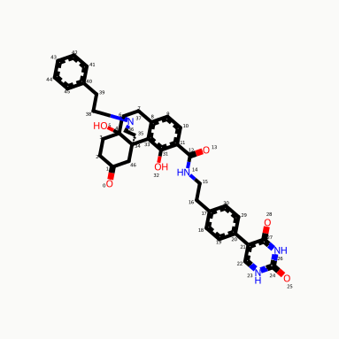 O=C1CCC2(O)C3Cc4ccc(C(=O)NCCc5ccc(-c6c[nH]c(=O)[nH]c6=O)cc5)c(O)c4[C@@]2(CCN3CCc2ccccc2)C1